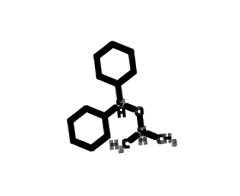 C[SiH](C)O[SiH](C1CCCCC1)C1CCCCC1